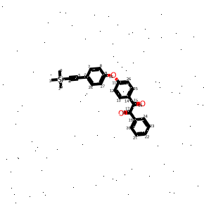 C[Si](C)(C)C#Cc1ccc(Oc2ccc(C(=O)C(=O)c3ccccc3)cc2)cc1